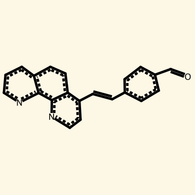 O=Cc1ccc(C=Cc2ccnc3c2ccc2cccnc23)cc1